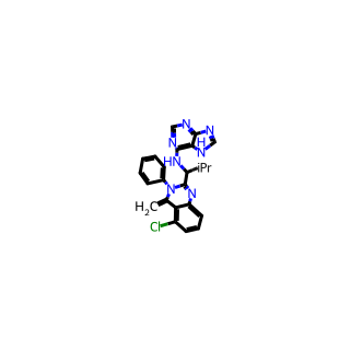 C=C1c2c(Cl)cccc2N=C(C(Nc2ncnc3nc[nH]c23)C(C)C)N1c1ccccc1